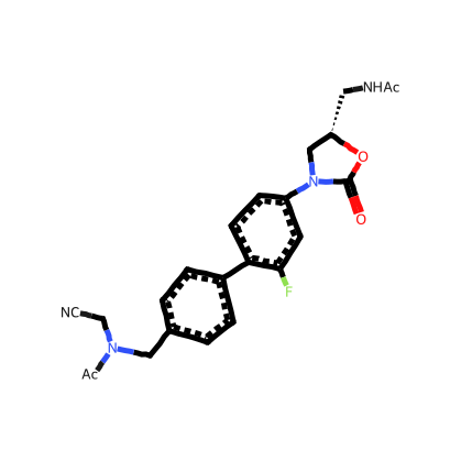 CC(=O)NC[C@H]1CN(c2ccc(-c3ccc(CN(CC#N)C(C)=O)cc3)c(F)c2)C(=O)O1